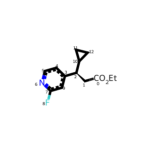 CCOC(=O)C[C@@H](c1ccnc(F)c1)C1CC1